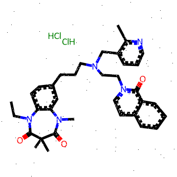 CCN1C(=O)C(C)(C)C(=O)N(C)c2cc(CCCN(CCn3ccc4ccccc4c3=O)Cc3cccnc3C)ccc21.Cl.Cl